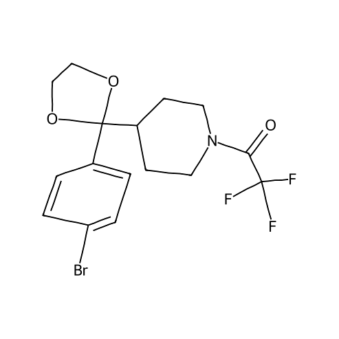 O=C(N1CCC(C2(c3ccc(Br)cc3)OCCO2)CC1)C(F)(F)F